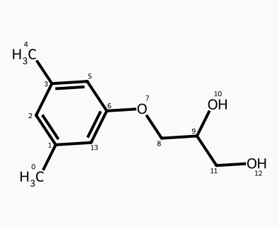 Cc1cc(C)cc(OCC(O)CO)c1